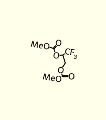 COC(=O)OCC(OC(=O)OC)C(F)(F)F